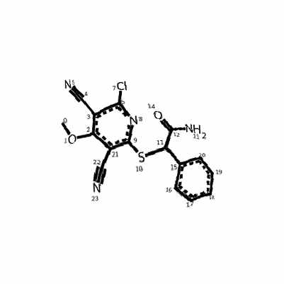 COc1c(C#N)c(Cl)nc(SC(C(N)=O)c2ccccc2)c1C#N